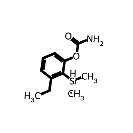 CCc1cccc(OC(N)=O)c1[SiH](C)C